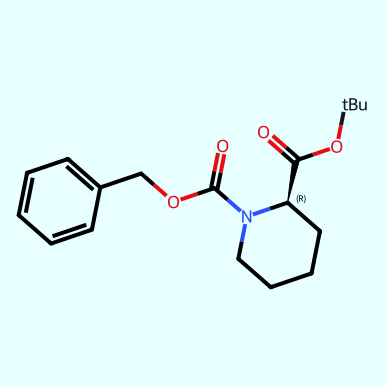 CC(C)(C)OC(=O)[C@H]1CCCCN1C(=O)OCc1ccccc1